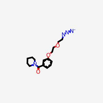 [N-]=[N+]=NCCOCCOc1cccc(C(=O)N2CCCCC2)c1